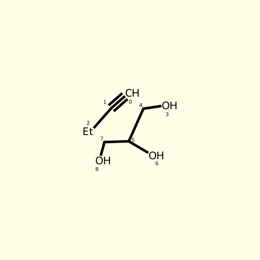 C#CCC.OCC(O)CO